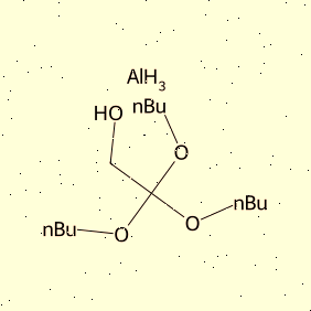 CCCCOC(CO)(OCCCC)OCCCC.[AlH3]